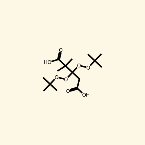 CC(C)(C)OOC(CC(=O)O)(OOC(C)(C)C)C(C)(C)C(=O)O